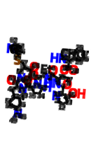 CCC(NC(=O)C(NC(=O)c1ncccc1O)C(C)OC(=O)C(NC=O)c1ccccc1)C(=O)N1CCCC1C(=O)N(C)C(Cc1ccc(N(C)C)cc1)C(=O)N1CC(CSC2CN3CCC2CC3)C(=O)CC1C